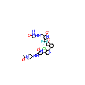 COc1nc(-c2ccnc(-c3cccc4c3CC[C@H]4Oc3nc(OC)c(CNC[C@H]4CCC(=O)N4)cc3C(F)(F)F)c2Cl)ccc1CNC1CCN(C(C)=O)CC1